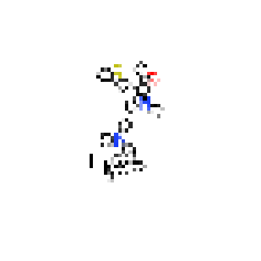 CC1(C)c2ccccc2-c2ccc(N(c3ccccc3)c3ccc(-c4ccc5c6c(-c7ccc8c(c7)sc7ccccc78)c7c(cc6n(-c6ccccc6)c5c4)oc4ccccc47)cc3)cc21